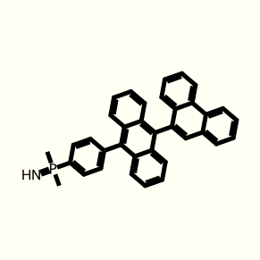 CP(C)(=N)c1ccc(-c2c3ccccc3c(-c3cc4ccccc4c4ccccc34)c3ccccc23)cc1